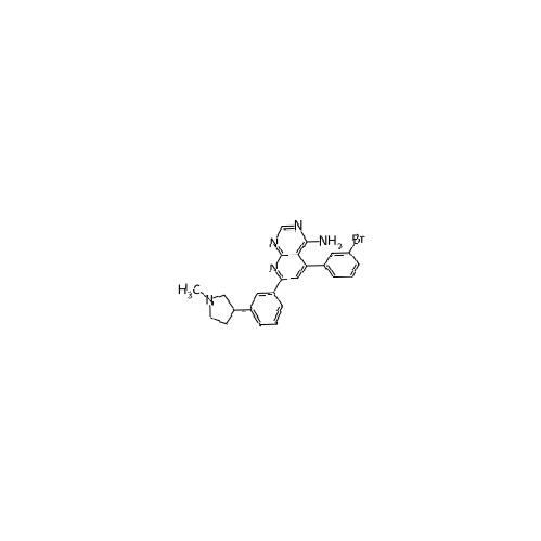 CN1CCC(c2cccc(-c3cc(-c4cccc(Br)c4)c4c(N)ncnc4n3)c2)C1